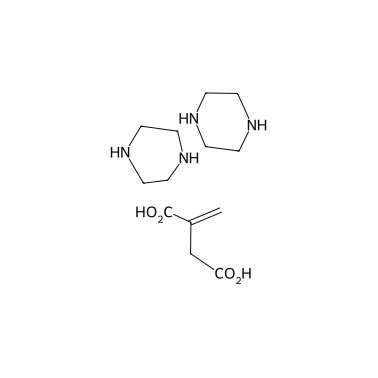 C1CNCCN1.C1CNCCN1.C=C(CC(=O)O)C(=O)O